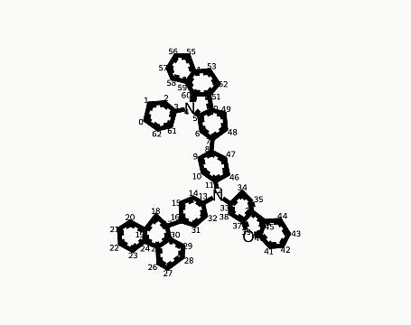 c1ccc(-n2c3cc(-c4ccc(N(c5ccc(-c6cc7ccccc7c7ccccc67)cc5)c5ccc6c(c5)oc5ccccc56)cc4)ccc3c3ccc4ccccc4c32)cc1